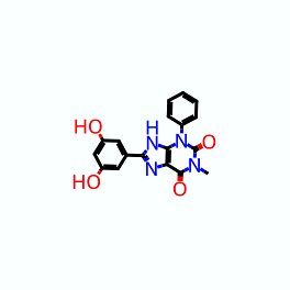 Cn1c(=O)c2nc(-c3cc(O)cc(O)c3)[nH]c2n(-c2ccccc2)c1=O